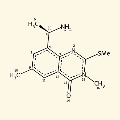 CSc1nc2c([C@@H](C)N)cc(C)cc2c(=O)n1C